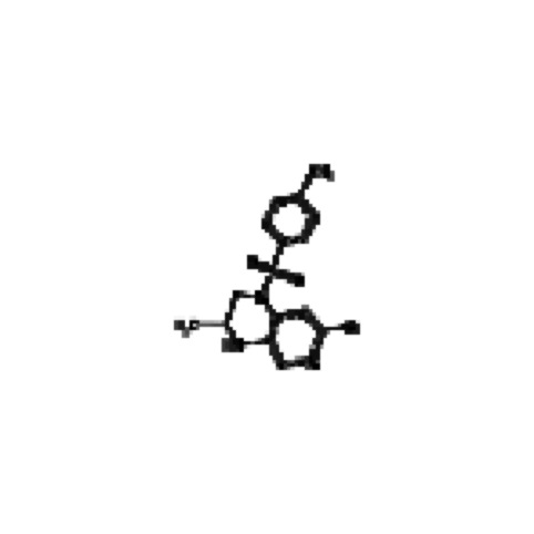 Cc1ccc(S(=O)(=O)N2CC(C)Nc3cnc(Br)cc32)cc1